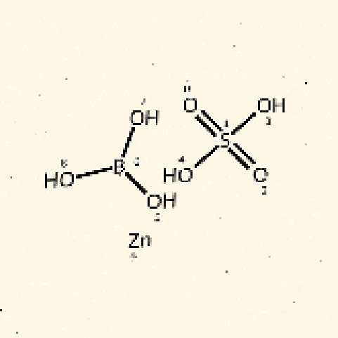 O=S(=O)(O)O.OB(O)O.[Zn]